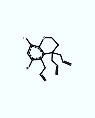 C=CCc1c(Br)cc(Cl)c2c1C(CC=C)(CC=C)CCS2